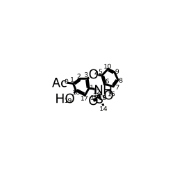 CC(=O)c1cc(Oc2ccccc2)c(NS(C)(=O)=O)cc1O